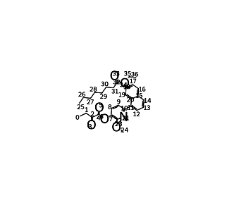 CCC(=O)C(=O)Oc1ccc(-c2cccc3ccccc23)nc1OC.CCCCCCCC(=O)OCC